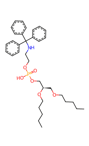 CCCCCOC[C@H](COP(=O)(O)OCCNC(c1ccccc1)(c1ccccc1)c1ccccc1)OCCCCC